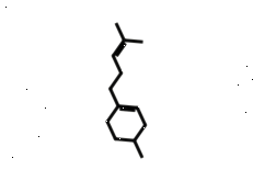 CC(C)=CCCC1=CCC(C)CC1